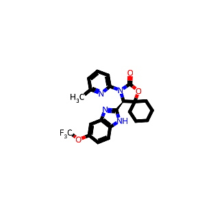 Cc1cccc(N2C(=O)OC3(CCCCC3)[C@H]2c2nc3cc(OC(F)(F)F)ccc3[nH]2)n1